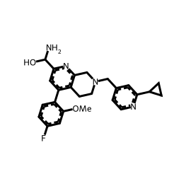 COc1cc(F)ccc1-c1cc(C(N)O)nc2c1CCN(Cc1ccnc(C3CC3)c1)C2